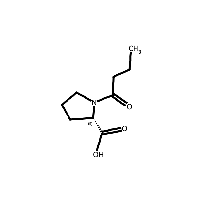 CCCC(=O)N1CCC[C@H]1C(=O)O